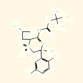 CC(C)(C)OC(=O)NC1=N[C@](C)(c2cc(Br)ccc2F)CS(=O)(=O)[C@]12C[C@H](O)C2